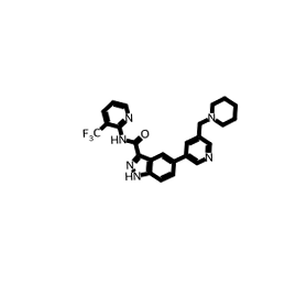 O=C(Nc1ncccc1C(F)(F)F)c1n[nH]c2ccc(-c3cncc(CN4CCCCC4)c3)cc12